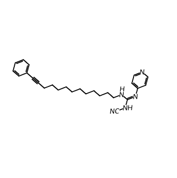 N#CNC(=Nc1ccncc1)NCCCCCCCCCCCC#Cc1ccccc1